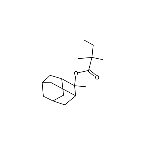 CCC(C)(C)C(=O)OC1(C)C2CC3CC(C2)CC1C3